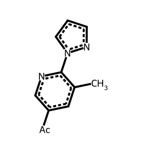 CC(=O)c1cnc(-n2cccn2)c(C)c1